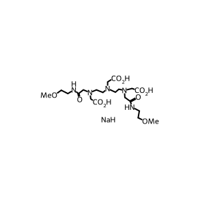 COCCNC(=O)CN(CCN(CCN(CC(=O)O)CC(=O)NCCOC)CC(=O)O)CC(=O)O.[NaH]